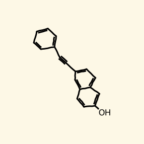 Oc1ccc2cc(C#Cc3ccccc3)ccc2c1